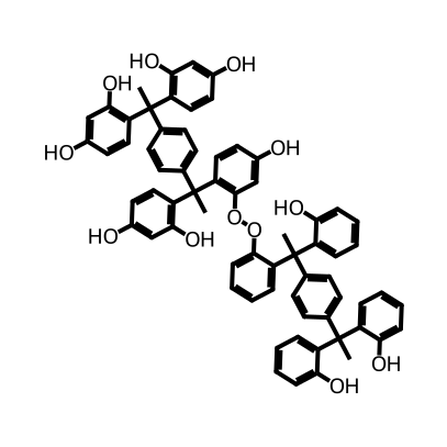 CC(c1ccc(C(C)(c2ccccc2O)c2ccccc2OOc2cc(O)ccc2C(C)(c2ccc(C(C)(c3ccc(O)cc3O)c3ccc(O)cc3O)cc2)c2ccc(O)cc2O)cc1)(c1ccccc1O)c1ccccc1O